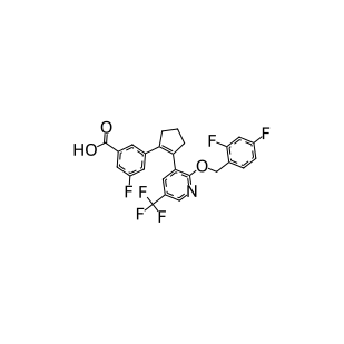 O=C(O)c1cc(F)cc(C2=C(c3cc(C(F)(F)F)cnc3OCc3ccc(F)cc3F)CCC2)c1